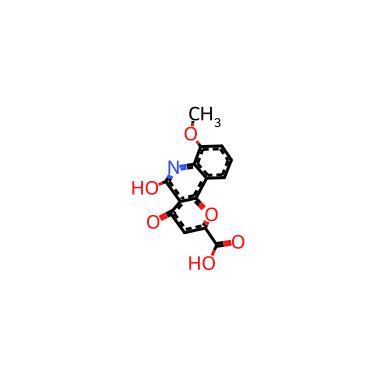 COc1cccc2c1nc(O)c1c(=O)cc(C(=O)O)oc12